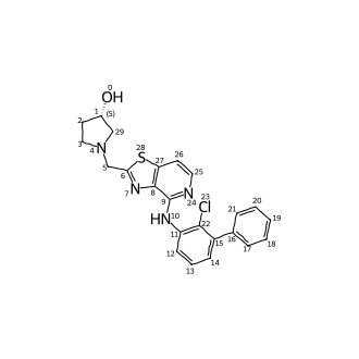 O[C@H]1CCN(Cc2nc3c(Nc4cccc(-c5ccccc5)c4Cl)nccc3s2)C1